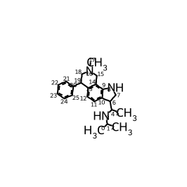 CC(C)NC(C)C1CNc2c1ccc1c2CN(C)CC1c1ccccc1